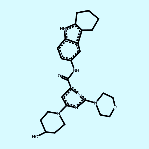 O=C(Nc1ccc2[nH]c3c(c2c1)CCCC3)c1cc(N2CCC(O)CC2)nc(N2CCOCC2)n1